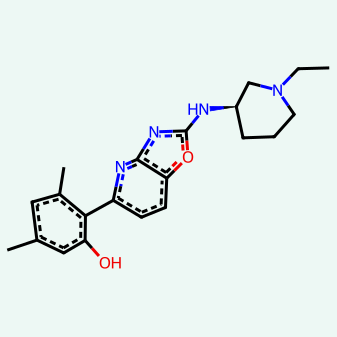 CCN1CCC[C@@H](Nc2nc3nc(-c4c(C)cc(C)cc4O)ccc3o2)C1